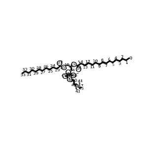 CCCCCCCCCCCCCCCC(=O)O[C@H](COC(=O)CCCCCCCCCCC)COP(=O)([O-])OCC[N+](C)(C)C